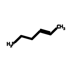 C/C=C/CCP